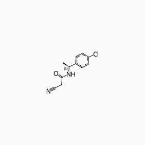 C[C@H](NC(=O)CC#N)c1ccc(Cl)cc1